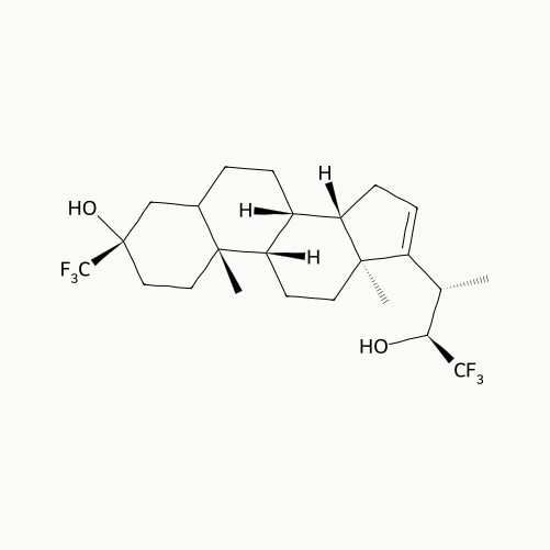 C[C@@H](C1=CC[C@H]2[C@H]3CCC4C[C@](O)(C(F)(F)F)CC[C@@]4(C)[C@H]3CC[C@]12C)[C@H](O)C(F)(F)F